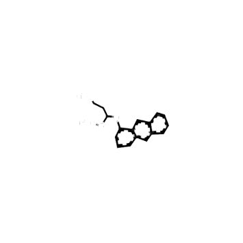 CCCC(OC)Oc1cccc2cc3ccccc3cc12